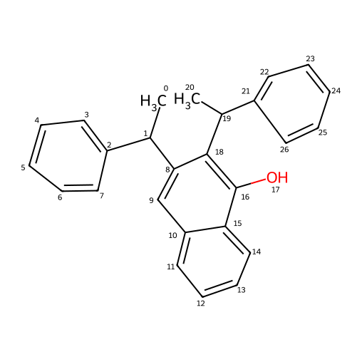 CC(c1ccccc1)c1cc2ccccc2c(O)c1C(C)c1ccccc1